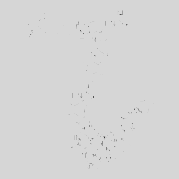 CCC1CC(=O)N(CCCCCC(=O)N[C@H](C(=O)N[C@@H](CCCNC(N)=O)C(=O)Nc2ccc(COC(=O)Nc3cccc(CN(C)[C@H](C(=O)N[C@H](C(=O)N(C)[C@@H]([C@@H](C)CC)[C@@H](CC(=O)N4CCC[C@H]4[C@H](OC)[C@@H](C)C(=O)N[C@@H](Cc4ccccc4)C(=O)OC)OC)C(C)C)C(C)C)c3)cc2)C(C)C)C1=O